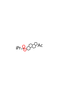 CC(=O)[C@H]1CCC2C3CCC4C[C@H](OC(=O)CC(C)C)CC[C@]4(C)C3CC[C@@]21C